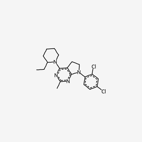 CCC1CCCCN1c1nc(C)nc2c1CCN2c1ccc(Cl)cc1Cl